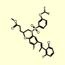 COC(=O)CCC1CN(S(=O)(=O)c2cccc(OC(F)F)c2)c2cc(/C=C(\C)c3c(F)cccc3Cl)c(F)cc2O1